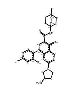 CO[C@@H]1CCN(c2ccc3c(=O)c(C(=O)NC45CCC(C)(CC4)CC5)cn(-c4ccc(F)cc4F)c3n2)C1